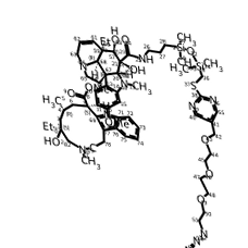 CC[C@]1(O)C[C@H](C)C[C@](C(=O)OC)(c2cc3c(cc2OC)N(C)[C@H]2[C@@](O)(C(=O)NCCC[Si](C)(C)O[Si](C)(C)CSc4ncc(COCCOCCOCCN=[N+]=[N-])cn4)[C@H](O)[C@]4(CC)C=CCN5CC[C@]32[C@@H]54)c2[nH]c3ccccc3c2CCN(C)C1